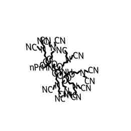 CCCOCC(COCCCN(CCC#N)CCC#N)(NC(=O)C(OCCCN(CCC#N)CCC#N)C(OCCCN(CCC#N)CCC#N)C(=O)NC(COCCCN(CCC#N)CCC#N)(COCCCN(CCC#N)CCC#N)OCCCN(CCC#N)CCC#N)OCCCN(CCC#N)CCC#N